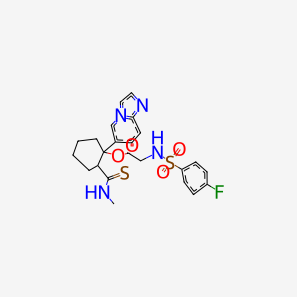 CNC(=S)C1CCCCC1(OC(=O)CNS(=O)(=O)c1ccc(F)cc1)c1ccc2nccn2c1